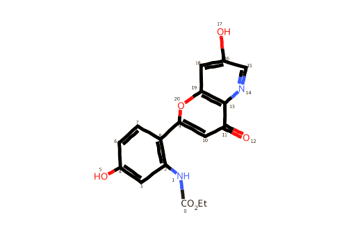 CCOC(=O)Nc1cc(O)ccc1-c1cc(=O)c2ncc(O)cc2o1